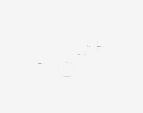 CC(C)(C)NC(=O)O[C@@H]1CCCN(CCO)C1